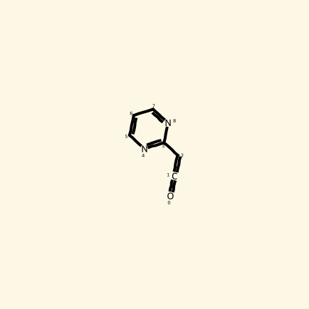 O=C=Cc1ncccn1